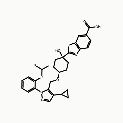 CC(F)Oc1ccccc1-n1ncc(C2CC2)c1CO[C@H]1CC[C@](O)(c2nc3ccc(C(=O)O)cc3s2)CC1